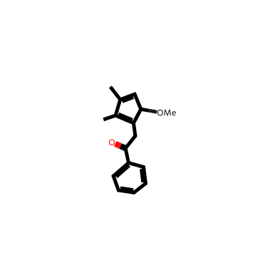 COC1C=C(C)C(C)=C1CC(=O)c1ccccc1